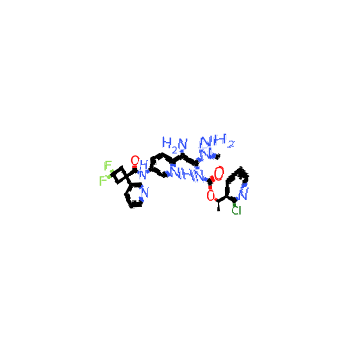 C[C@@H](OC(=O)N/C(=C(/N)c1ccc(NC(=O)C2(c3cccnc3)CC(F)(F)C2)cn1)N(C)N)c1cccnc1Cl